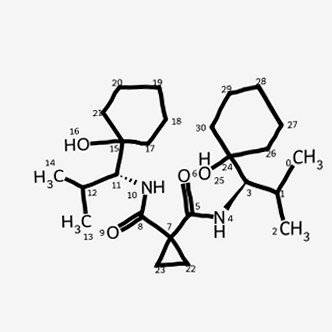 CC(C)[C@@H](NC(=O)C1(C(=O)N[C@H](C(C)C)C2(O)CCCCC2)CC1)C1(O)CCCCC1